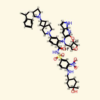 CC(C)c1ccccc1[C@@H]1CCCN1C1CC2(CCN(c3ccc(C(=O)NS(=O)(=O)c4ccc(NCC5CCC(C)(O)CC5)c([N+](=O)[O-])c4)c(N4C[C@@H]5COC[C@@H]5Oc5nc6[nH]ccc6cc54)c3)CC2)C1